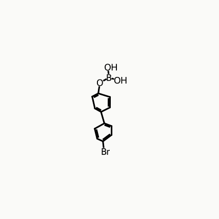 OB(O)Oc1ccc(-c2ccc(Br)cc2)cc1